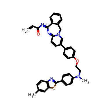 C=CC(=O)/N=C1\N=C2C=CC(c3ccc(OCCN(C)c4ccc(-c5nc6ccc(C)cc6s5)cc4)cc3)=CN2Cc2ccccc21